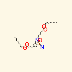 CCCCCC/C=C\COC(=O)CCCCCCCN(Cc1cccc(CCCC(=O)OC/C=C\CCCCCC)c1)C(=O)SCCN(C)C